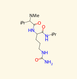 CNC(C(=O)NC(CCCNC(N)=O)C(=O)NC(C)C)C(C)C